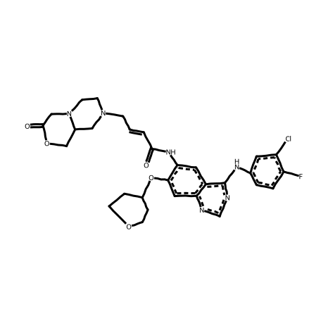 O=C(C=CCN1CCN2CC(=O)OCC2C1)Nc1cc2c(Nc3ccc(F)c(Cl)c3)ncnc2cc1OC1CCOCC1